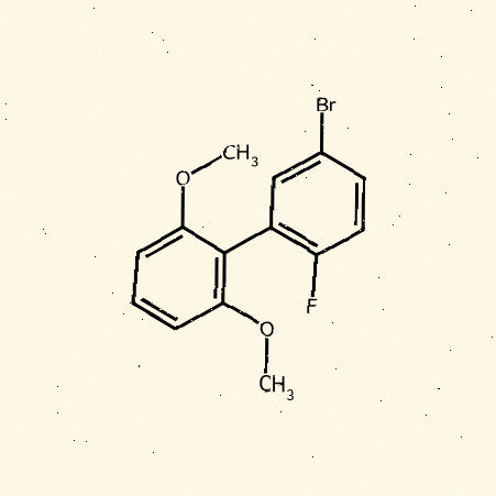 COc1cccc(OC)c1-c1cc(Br)ccc1F